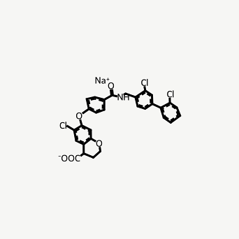 O=C(NCc1ccc(-c2ccccc2Cl)cc1Cl)c1ccc(Oc2cc3c(cc2Cl)C(C(=O)[O-])CCO3)cc1.[Na+]